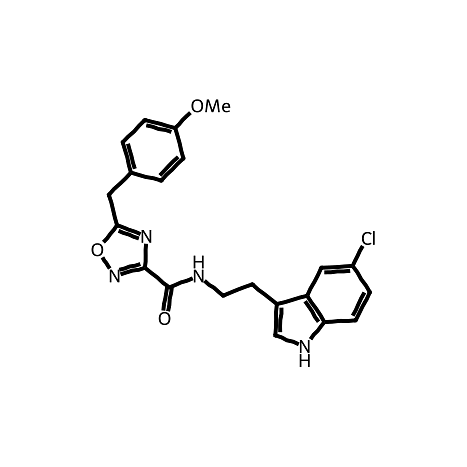 COc1ccc(Cc2nc(C(=O)NCCc3c[nH]c4ccc(Cl)cc34)no2)cc1